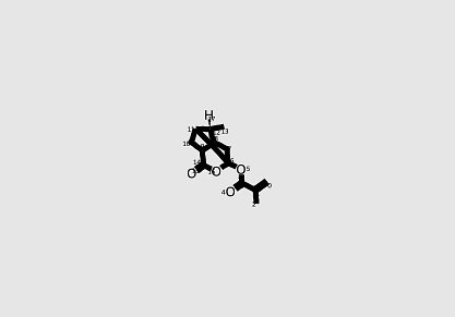 C=C(C)C(=O)OC12CC3C(CC1[C@H]3C)C(=O)O2